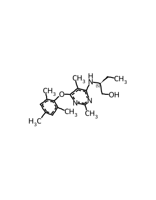 CC[C@@H](CO)Nc1nc(C)nc(Oc2c(C)cc(C)cc2C)c1C